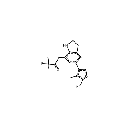 Cn1c(C#N)ccc1-c1cc2c(c(CC(=O)C(C)(C)F)c1)NCC2